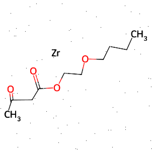 CCCCOCCOC(=O)CC(C)=O.[Zr]